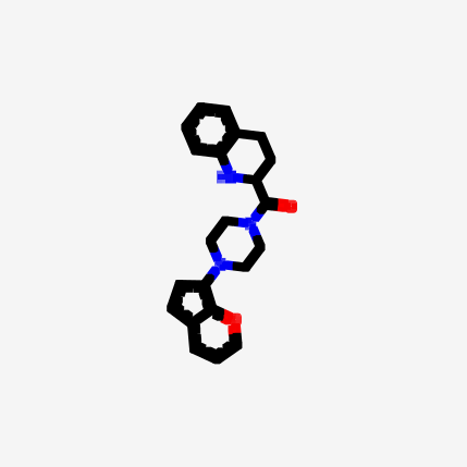 O=C(C1CCc2ccccc2N1)N1CCN(c2ccc3cccoc2-3)CC1